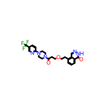 O=C(CCOCCc1cccc2c(=O)[nH]ncc12)N1CCN(c2ccc(C(F)(F)F)cn2)CC1